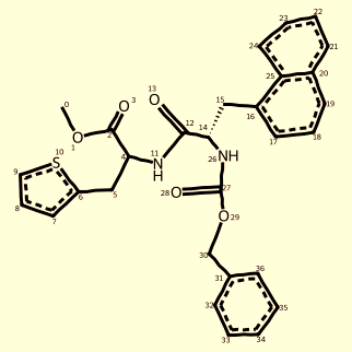 COC(=O)C(Cc1cccs1)NC(=O)[C@H](Cc1cccc2ccccc12)NC(=O)OCc1ccccc1